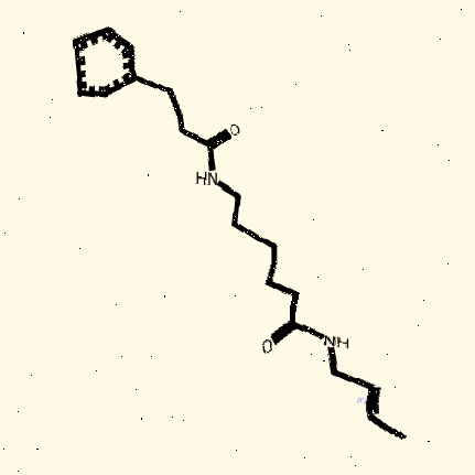 C/C=C/CNC(=O)CCCCCNC(=O)CCc1ccccc1